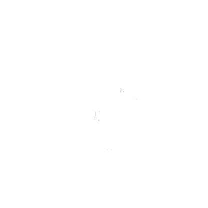 CCCNC(=O)[C@H]1CCC[C@H]1NC(C)(C)C